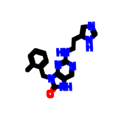 Cc1ccccc1Cn1c(=O)[nH]c2cnc(NCCc3cnc[nH]3)nc21